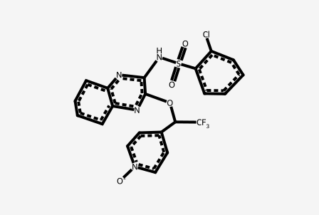 O=S(=O)(Nc1nc2ccccc2nc1OC(c1cc[n+]([O-])cc1)C(F)(F)F)c1ccccc1Cl